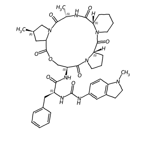 C[C@@H]1CC2C(=O)OC[C@H](NC(=O)[C@H](Cc3ccccc3)NC(=O)Nc3ccc4c(c3)CCN4C)C(=O)N3CCC[C@H]3C(=O)N3CCCC[C@H]3C(=O)N[C@@H](C)C(=O)N2C1